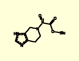 CC(C)(C)OC(=O)[PH](=O)N1CCc2nc[nH]c2C1